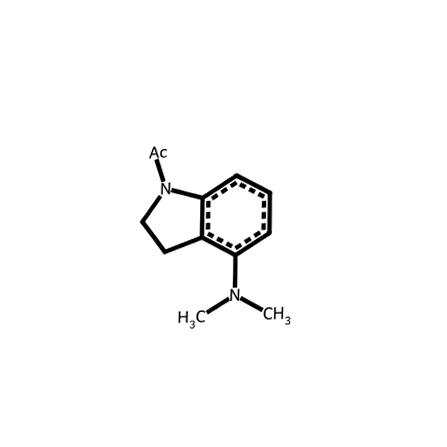 CC(=O)N1CCc2c(N(C)C)cccc21